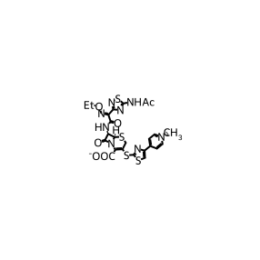 CCON=C(C(=O)N[C@@H]1C(=O)N2C(C(=O)[O-])=C(Sc3nc(-c4cc[n+](C)cc4)cs3)CS[C@H]12)c1nsc(NC(C)=O)n1